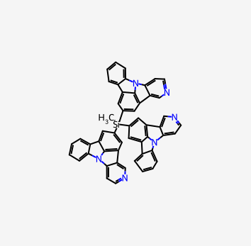 C[Si](c1cc2c3ccccc3n3c4ccncc4c(c1)c23)(c1cc2c3ccccc3n3c4ccncc4c(c1)c23)c1cc2c3ccccc3n3c4ccncc4c(c1)c23